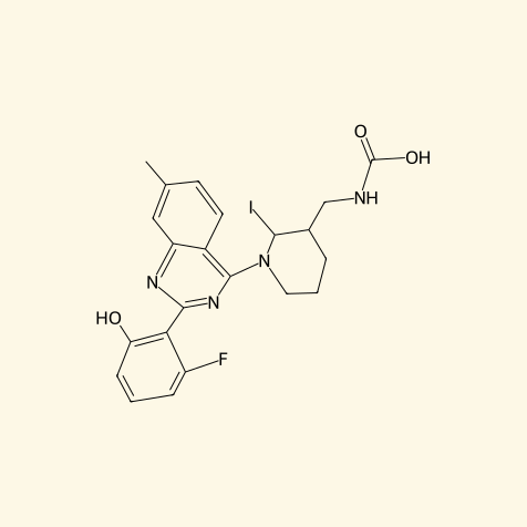 Cc1ccc2c(N3CCCC(CNC(=O)O)C3I)nc(-c3c(O)cccc3F)nc2c1